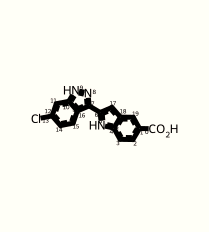 O=C(O)c1ccc2[nH]c(-c3n[nH]c4cc(Cl)ccc34)cc2c1